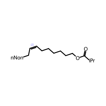 CCCCCCCCCC/C=C\CCCCCCOC(=O)C(C)C